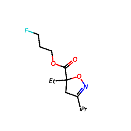 CCC1(C(=O)OCCCF)CC(C(C)C)=NO1